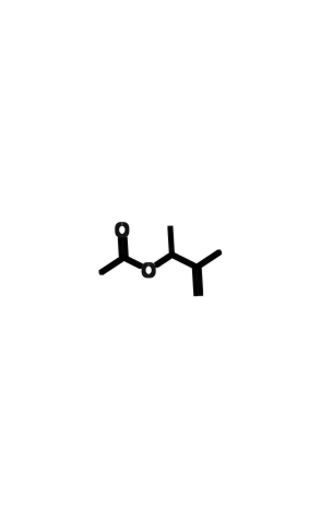 C=C(C)C(C)OC(C)=O